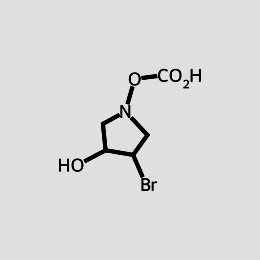 O=C(O)ON1CC(O)C(Br)C1